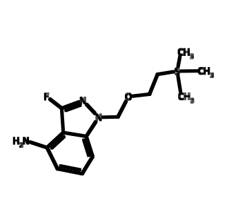 CS(C)(C)CCOCn1nc(F)c2c(N)cccc21